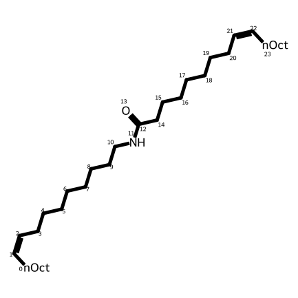 CCCCCCCC/C=C\CCCCCCCCNC(=O)CCCCCCC/C=C\CCCCCCCC